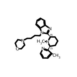 Cc1cccnc1[C@@H]1CCC[C@H](c2nc3ccccc3n2CCCCN2CCOCC2)N1C